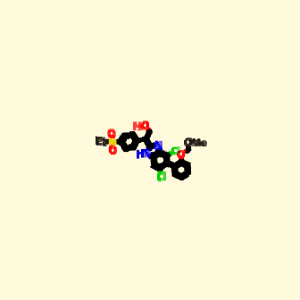 CCS(=O)(=O)c1ccc(C(CO)c2nc3c(Cl)c(-c4ccccc4OCOC)c(Cl)cc3[nH]2)cc1